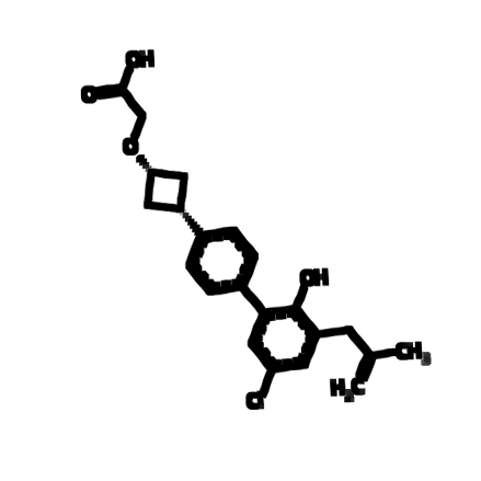 C=C(C)Cc1cc(Cl)cc(-c2ccc([C@H]3C[C@@H](OCC(=O)O)C3)cc2)c1O